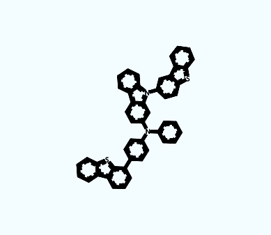 c1ccc(N(c2ccc(-c3cccc4c3sc3ccccc34)cc2)c2ccc3c4ccccc4n(-c4ccc5sc6ccccc6c5c4)c3c2)cc1